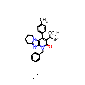 CCCC(C(=O)O)c1c(-c2ccc(C)cc2)c2c(nc3n2CCCC3)n(Cc2ccccc2)c1=O